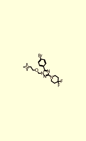 C[Si](C)(C)CCOCn1nc(N2CCC(F)(F)CC2)nc1-c1ccc(Br)cc1